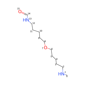 CNCCCCCOCCCCCNC=O